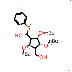 CCCCOC1C(CO)[C@@H](OCCCC)[C@H](OCCCC)C1[C@H](O)Sc1ccccc1